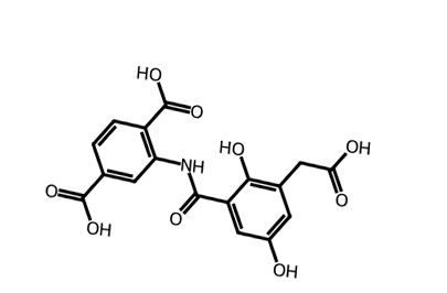 O=C(O)Cc1cc(O)cc(C(=O)Nc2cc(C(=O)O)ccc2C(=O)O)c1O